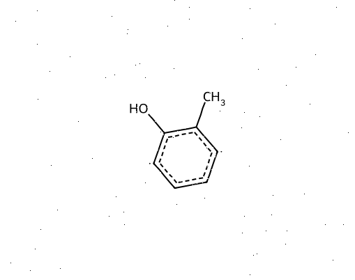 Cc1[c]cc[c]c1O